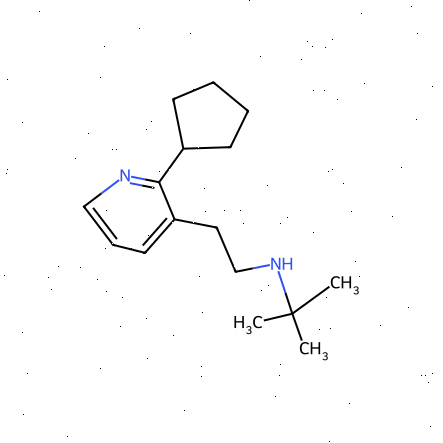 CC(C)(C)NCCc1cccnc1C1CCCC1